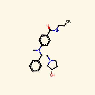 CN(c1ccc(C(=O)NCCC(F)(F)F)cc1)[C@H](CN1CC[C@H](O)C1)c1ccccc1